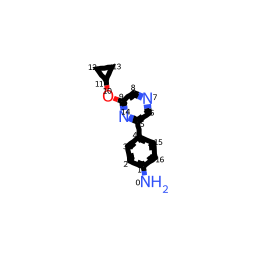 Nc1ccc(-c2cncc(OC3CC3)n2)cc1